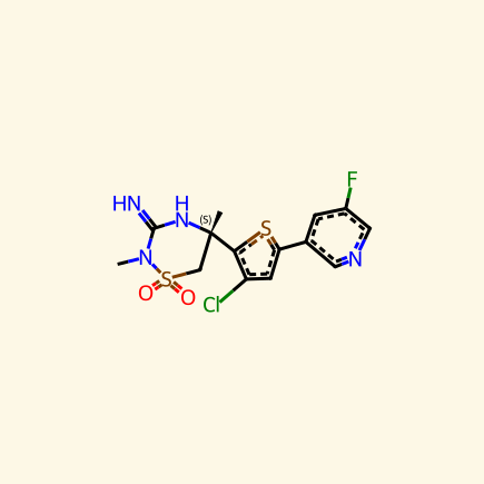 CN1C(=N)N[C@](C)(c2sc(-c3cncc(F)c3)cc2Cl)CS1(=O)=O